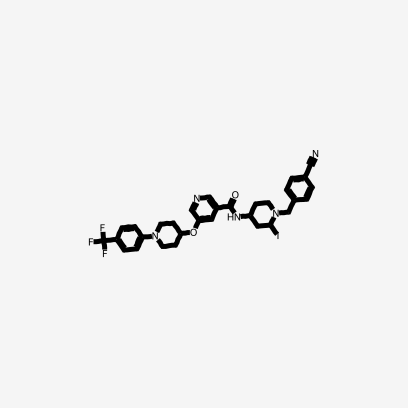 N#Cc1ccc(CN2CCC(NC(=O)c3cncc(OC4CCN(c5ccc(C(F)(F)F)cc5)CC4)c3)CC2I)cc1